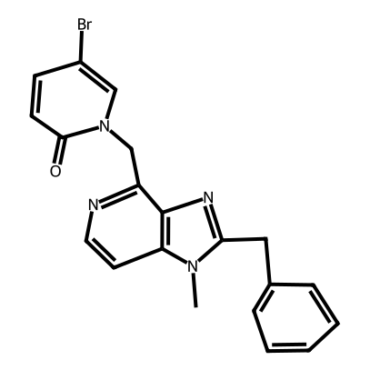 Cn1c(Cc2ccccc2)nc2c(Cn3cc(Br)ccc3=O)nccc21